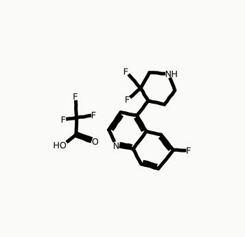 Fc1ccc2nccc(C3CCNCC3(F)F)c2c1.O=C(O)C(F)(F)F